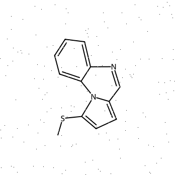 CSc1ccc2cnc3ccccc3n12